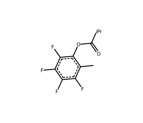 Cc1c(F)c(F)c(F)c(F)c1OC(=O)C(C)C